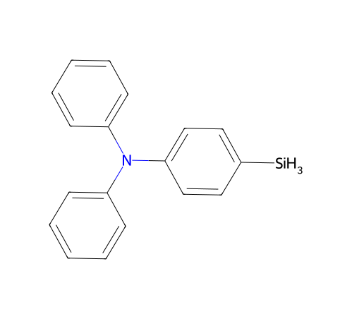 [SiH3]c1ccc(N(c2ccccc2)c2ccccc2)cc1